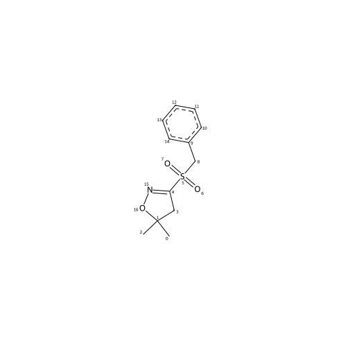 CC1(C)CC(S(=O)(=O)Cc2ccccc2)=NO1